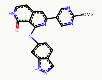 COc1ncc(-c2cc3cc[nH]c(=O)c3c(Nc3ccc4cn[nH]c4c3)n2)cn1